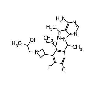 CCOc1c(C(C)n2nc(C)c3c(N)ncnc32)cc(Cl)c(F)c1C1CN(CC(C)O)C1